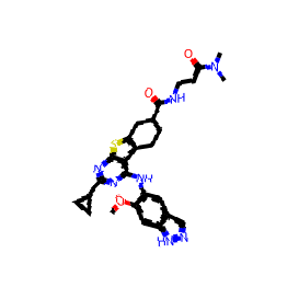 COc1cc2[nH]ncc2cc1Nc1nc(C2CC2)nc2sc3c(c12)CCC(C(=O)NCCC(=O)N(C)C)C3